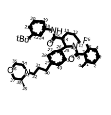 Cc1cccc(F)c1C(=O)N1CCCC(C(=O)Nc2cccc(C(C)(C)C)c2)C1c1ccc(CCCN2CCOC[C@@H]2C)cc1